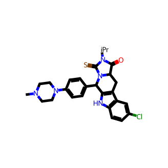 CC(C)N1C(=O)C2Cc3c([nH]c4ccc(Cl)cc34)C(c3ccc(N4CCN(C)CC4)cc3)N2C1=S